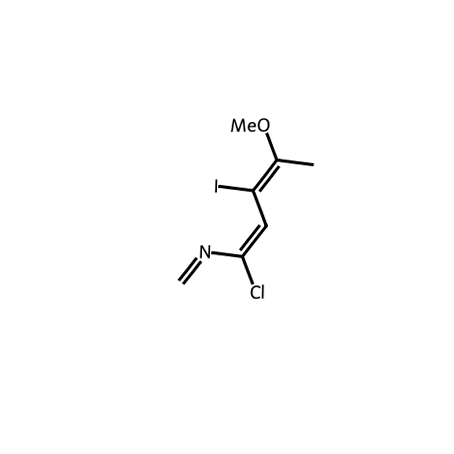 C=N/C(Cl)=C\C(I)=C(/C)OC